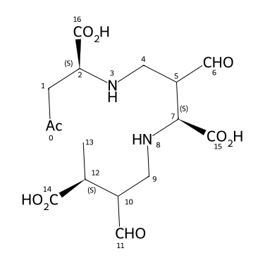 CC(=O)C[C@H](NCC(C=O)[C@H](NCC(C=O)[C@H](C)C(=O)O)C(=O)O)C(=O)O